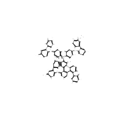 CC(C)(C)c1ccc2c(c1)c1cc(C(C)(C)C)ccc1n2-c1ccc2c(c1)Oc1cc(-n3c4ccccc4c4cc(C#N)ccc43)cc3c1B2c1ccc(-c2c(-c4cccc5sc6ccccc6c45)cccc2-n2c4ccc(C(C)(C)C)cc4c4cc(C(C)(C)C)ccc42)cc1O3